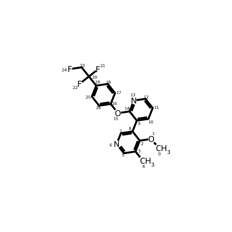 COc1c(C)cncc1-c1cccnc1Oc1ccc(C(F)(F)CF)cc1